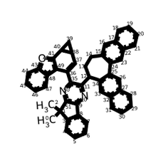 CC1(C)c2ccccc2-c2nc(C3CCc4cc5ccccc5cc4-c4cc5ccccc5cc43)c(C3=CC4CC4c4oc5ccccc5c43)nc21